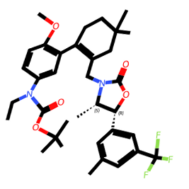 CCN(C(=O)OC(C)(C)C)c1ccc(OC)c(C2=C(CN3C(=O)O[C@H](c4cc(C)cc(C(F)(F)F)c4)[C@@H]3C)CC(C)(C)CC2)c1